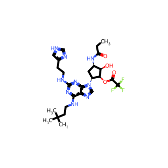 CCC(=O)N[C@H]1C[C@@H](n2cnc3c(NCCC(C)(C)C)nc(NCCc4c[nH]cn4)nc32)[C@H](OC(=O)C(F)(F)F)[C@@H]1O